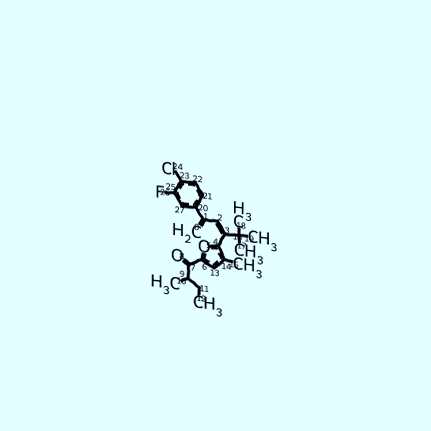 C=C(/C=C(\c1oc(C(=O)C(C)CC)cc1C)C(C)(C)C)c1ccc(Cl)c(F)c1